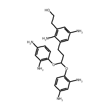 Nc1ccc(OC(CCc2cc(N)cc(CCO)c2N)Oc2ccc(N)cc2N)c(N)c1